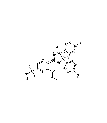 CCOc1cc(C(C)(C)OC)ccc1C1=N[C@@](C)(c2ccc(Cl)cc2)[C@@](C)(c2ccc(Cl)cc2)N1